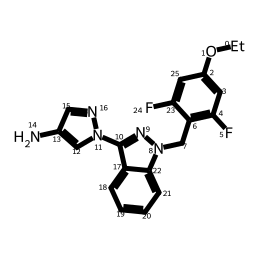 CCOc1cc(F)c(Cn2nc(-n3cc(N)cn3)c3ccccc32)c(F)c1